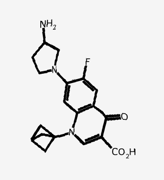 NC1CCN(c2cc3c(cc2F)c(=O)c(C(=O)O)cn3C23CC(C2)C3)C1